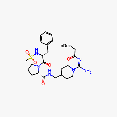 CCCCCCCCCCCC(=O)/N=C(/N)N1CCC(CNC(=O)[C@@H]2CCCN2C(=O)[C@@H](Cc2ccccc2)NS(C)(=O)=O)CC1